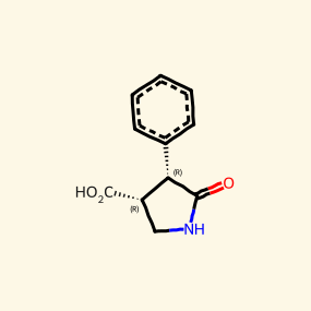 O=C(O)[C@H]1CNC(=O)[C@H]1c1ccccc1